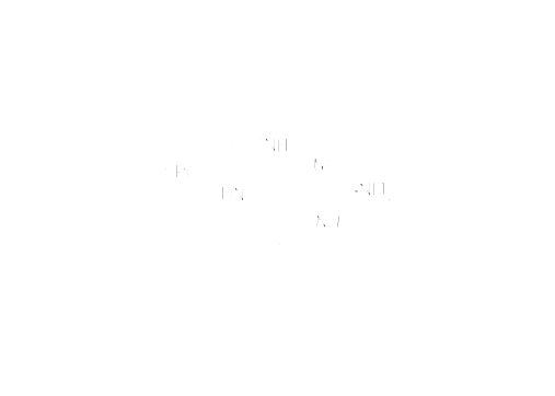 CCC[C@@H]1CNc2nc(N)[nH]c(=O)c2N1